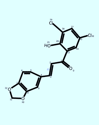 O=C(/C=C/c1ccc2c(c1)OCO2)c1cc(Cl)cc(Cl)c1O